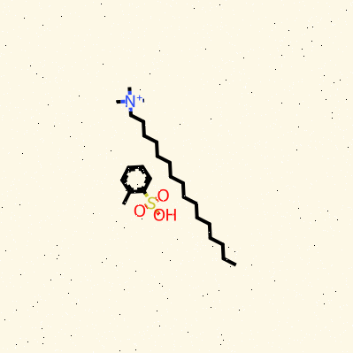 CCCCCCCCCCCCCCCC[N+](C)(C)C.Cc1ccccc1S(=O)(=O)O